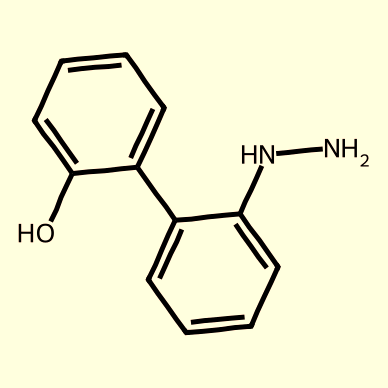 NNc1ccccc1-c1ccccc1O